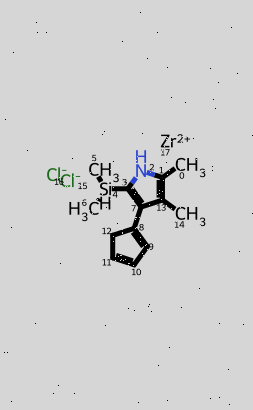 Cc1[nH]c([SiH](C)C)c(C2=CC=CC2)c1C.[Cl-].[Cl-].[Zr+2]